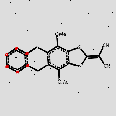 COc1c2c(c(OC)c3c1C1c4ccccc4C3c3ccccc31)SC(=C(C#N)C#N)S2